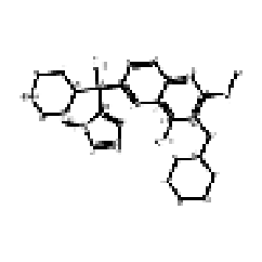 COc1nc2ccc(C(O)(c3cncn3C)C3CCNCC3)cc2c(Cl)c1CC1CCCCC1